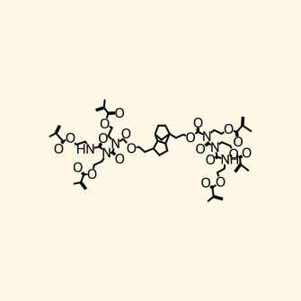 C=C(C)C(=O)OCCNC(=O)N(CCOC(=O)C(=C)C)C(=O)N(CCOC(=O)C(=C)C)C(=O)OCCC1CCC2C1C1CCC2(CCOC(=O)N(CCOC(=O)C(=C)C)C(=O)N(CCOC(=O)C(=C)C)C(=O)NCCOC(=O)C(=C)C)C1